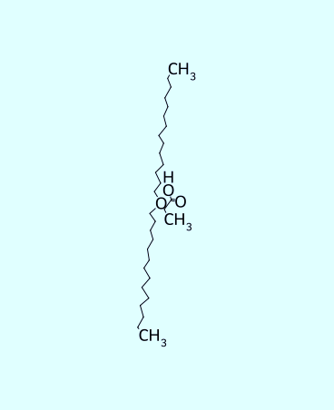 CCC(=O)O.CCCCCCCCCCCCCCOCCCCCCCCCCCCCC